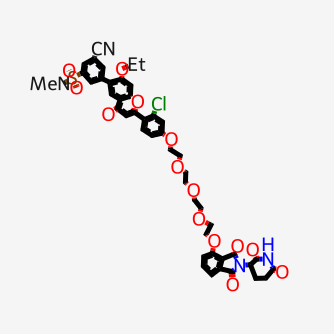 CCOc1cc2oc(-c3ccc(OCCOCCOCCOCCOc4cccc5c4C(=O)N(C4CCC(=O)NC4=O)C5=O)cc3Cl)cc(=O)c2cc1-c1cc(C#N)cc(S(=O)(=O)NC)c1